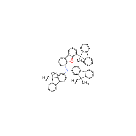 CC1(C)c2ccccc2-c2ccc(N(c3ccc4c(c3)C(C)(C)c3ccccc3-4)c3cccc4c3oc3c(C5(C)c6ccccc6-c6ccccc65)cccc34)cc21